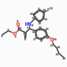 C=C(C(=O)OCC)C(Nc1ccc(F)cc1)c1ccc(OCCCC)cc1